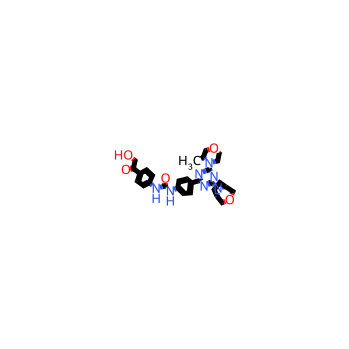 CC1COCCN1c1nc(-c2ccc(NC(=O)Nc3ccc(C(=O)CO)cc3)cc2)nc(N2C3CCC2COC3)n1